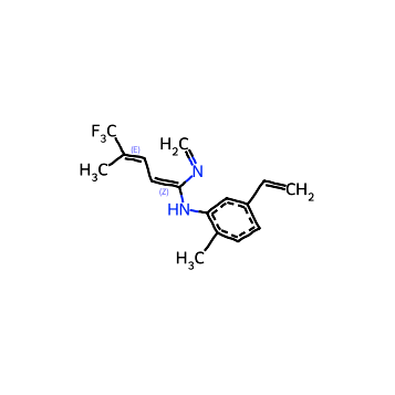 C=Cc1ccc(C)c(N/C(=C/C=C(\C)C(F)(F)F)N=C)c1